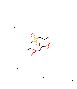 CCCS(=O)(=O)CCC.COCCOC